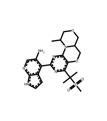 CC1COCC2COc3c(nc(-c4c(N)cnc5[nH]ccc45)nc3C(C)(C)S(C)(=O)=O)N12